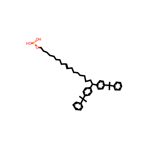 CC(C)(c1ccccc1)c1ccc(C(CCCCCCCC=CCCCCCCCCOP(O)O)c2ccc(C(C)(C)c3ccccc3)cc2)cc1